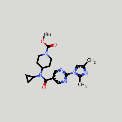 Cc1cn(-c2ncc(C(=O)N(C3CC3)C3CCN(C(=O)OC(C)(C)C)CC3)cn2)c(C)n1